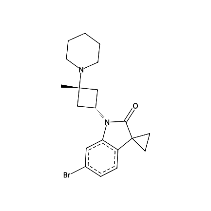 C[C@]1(N2CCCCC2)C[C@@H](N2C(=O)C3(CC3)c3ccc(Br)cc32)C1